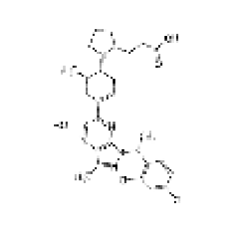 Cc1nn([C@H](C)c2ccc(Cl)cc2Cl)c2nc(C3=CC[C@H](N4CCCC4CCC(=O)O)[C@H](C)C3)cnc12.Cl